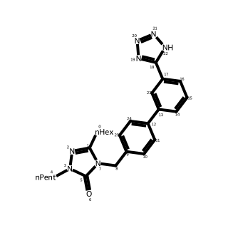 CCCCCCc1nn(CCCCC)c(=O)n1Cc1ccc(-c2cccc(-c3nnn[nH]3)c2)cc1